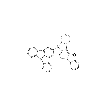 c1ccc2c(c1)oc1c2cc2c3c4c5ccccc5n5c6ccccc6c(cc3n3c6ccccc6c1c23)c45